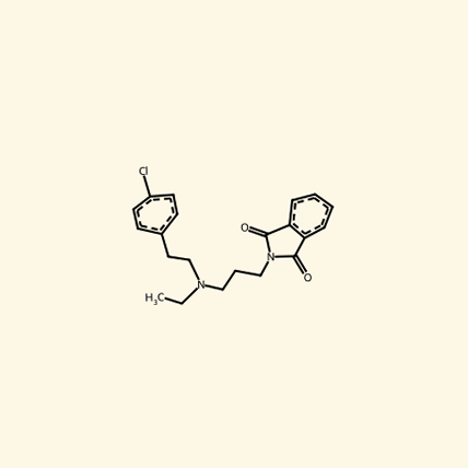 CCN(CCCN1C(=O)c2ccccc2C1=O)CCc1ccc(Cl)cc1